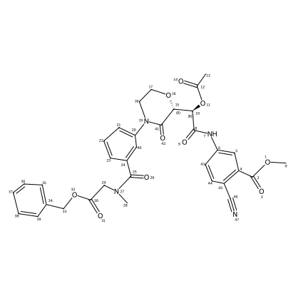 COC(=O)c1cc(NC(=O)[C@H](OC(C)=O)[C@H]2OCCN(c3cccc(C(=O)N(C)CC(=O)OCc4ccccc4)c3)C2=O)ccc1C#N